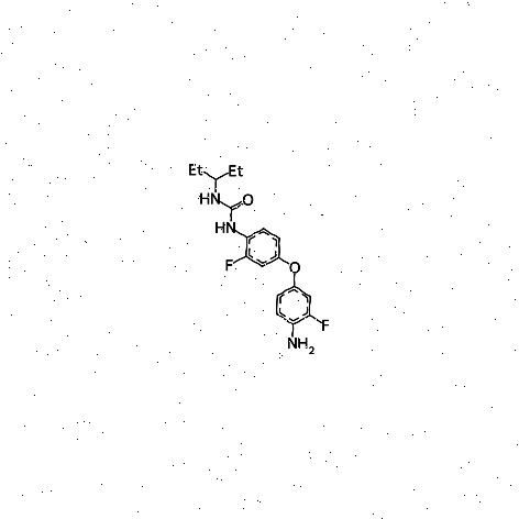 CCC(CC)NC(=O)Nc1ccc(Oc2ccc(N)c(F)c2)cc1F